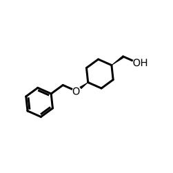 OC[C@H]1CC[C@@H](OCc2ccccc2)CC1